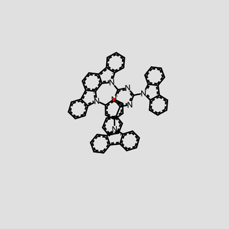 c1ccc(-c2nc(-n3c4ccccc4c4ccccc43)nc(-n3c4ccccc4c4ccc5c6ccccc6n(-c6cccc(-n7c8ccccc8c8ccccc87)c6)c5c43)n2)cc1